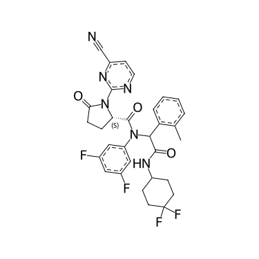 Cc1ccccc1C(C(=O)NC1CCC(F)(F)CC1)N(C(=O)[C@@H]1CCC(=O)N1c1nccc(C#N)n1)c1cc(F)cc(F)c1